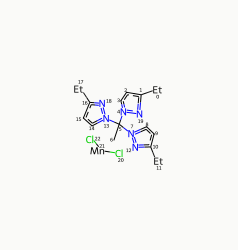 CCc1ccn(C(C)(n2ccc(CC)n2)n2ccc(CC)n2)n1.[Cl][Mn][Cl]